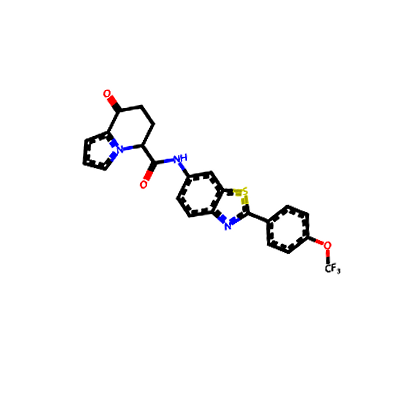 O=C1CCC(C(=O)Nc2ccc3nc(-c4ccc(OC(F)(F)F)cc4)sc3c2)n2cccc21